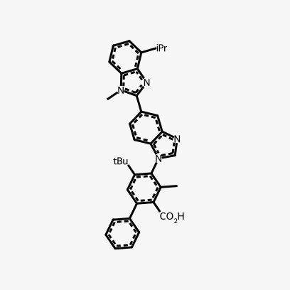 Cc1c(C(=O)O)c(-c2ccccc2)cc(C(C)(C)C)c1-n1cnc2cc(-c3nc4c(C(C)C)cccc4n3C)ccc21